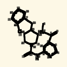 C=C(NC)c1ccnc(NC(=C)N2CCC(Cc3ccccc3Cl)CC2)c1